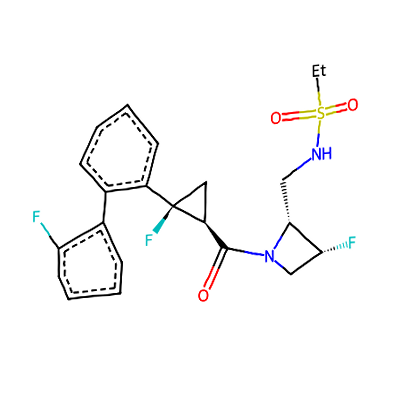 CCS(=O)(=O)NC[C@@H]1[C@H](F)CN1C(=O)[C@@H]1C[C@@]1(F)c1ccccc1-c1ccccc1F